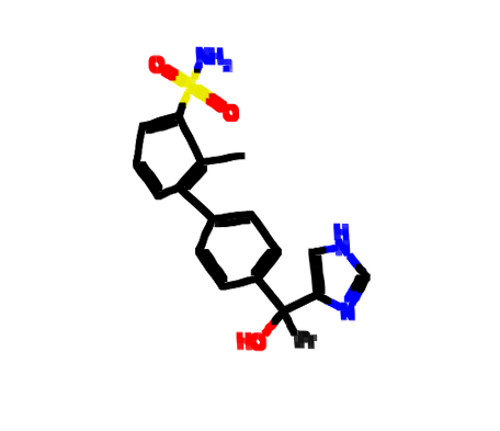 Cc1c(-c2ccc(C(O)(c3c[nH]cn3)C(C)C)cc2)cccc1S(N)(=O)=O